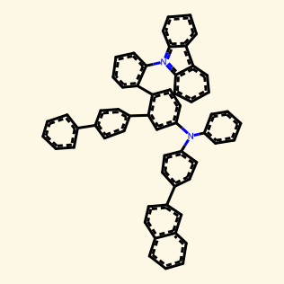 c1ccc(-c2ccc(-c3cc(N(c4ccccc4)c4ccc(-c5ccc6ccccc6c5)cc4)ccc3-c3ccccc3-n3c4ccccc4c4ccccc43)cc2)cc1